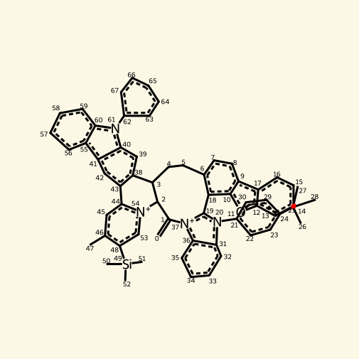 C=C1C2C(CCc3ccc4c(oc5ccccc54)c3-c3n(-c4ccc(C(C)(C)C)cc4)c4ccccc4[n+]31)c1cc3c(cc1-c1cc(C)c([Si](C)(C)C)c[n+]12)c1ccccc1n3-c1ccccc1